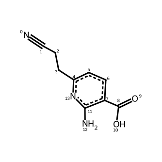 N#CCCc1ccc(C(=O)O)c(N)n1